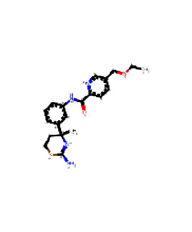 CCOCc1ccc(C(=O)Nc2cccc(C3(C)CCSC(N)=N3)c2)nc1